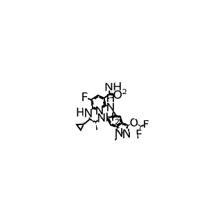 C[C@H](N)[C@H](Nc1nc(Nc2ccc3c(c2)c(OC(F)F)nn3C)c(C(N)=O)cc1F)C1CC1